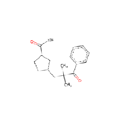 CC(C)(C)C(=O)C1CCC(CC(C)(C)C(=O)c2ccccc2)C1